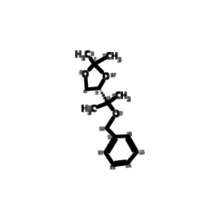 CC1(C)OC[C@@H](C(C)(C)OCc2ccccc2)O1